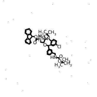 CC(C)(C)CN1C(=O)C(CNC(=O)OC2c3ccccc3-c3ccccc32)OC(c2cccc(CNC(=O)OC(C)(C)C)c2)c2cc(Cl)ccc21